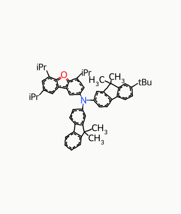 CC(C)c1cc(C(C)C)c2oc3c(C(C)C)cc(N(c4ccc5c(c4)C(C)(C)c4ccccc4-5)c4ccc5c(c4)C(C)(C)c4cc(C(C)(C)C)ccc4-5)cc3c2c1